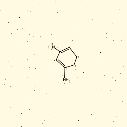 NC1=CCCC(N)=C1